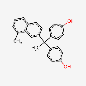 Cc1cccc2ccc(C(C)(c3ccc(O)cc3)c3ccc(O)cc3)cc12